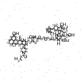 C=CC(=O)N1CCN(c2nc([C@H](CO)CN3CCC(OCCOCCOCC(=O)N[C@H](C(=O)N4CC(O)CC4C(=O)N[C@@H](C)c4ccc(-c5scnc5C)cc4)C(C)(C)C)CC3)nc3c(F)c(-c4cc(O)cc5ccccc45)c(Cl)cc23)CC1